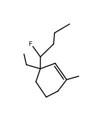 CCCC(F)C1(CC)C=C(C)CCC1